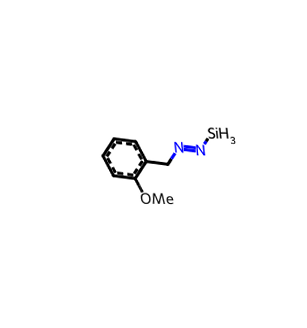 COc1ccccc1CN=N[SiH3]